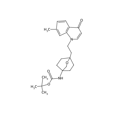 Cc1ccc2c(=O)ccn(CCC34CCC(NC(=O)OC(C)(C)C)(CC3)CO4)c2c1